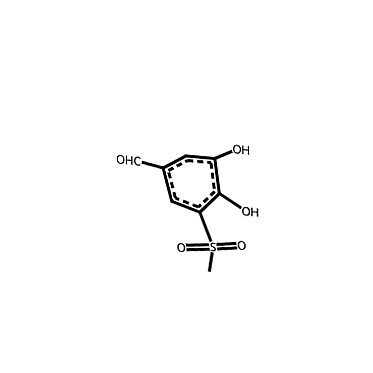 CS(=O)(=O)c1cc(C=O)cc(O)c1O